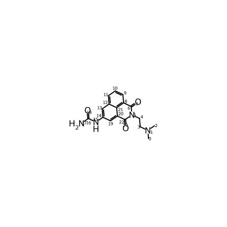 CN(C)CCN1C(=O)c2cccc3cc(NC(N)=O)cc(c23)C1=O